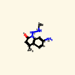 CCCCNNn1c(=O)cc(C(F)(F)F)c2ccc(N)cc21